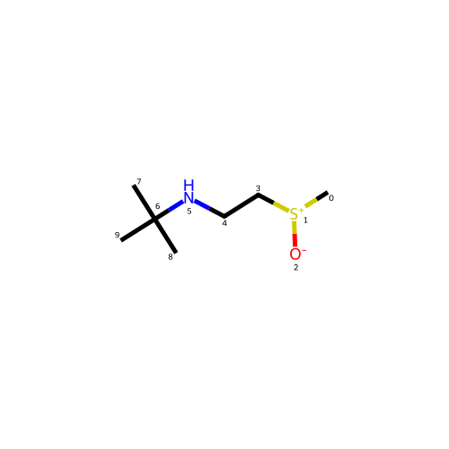 C[S+]([O-])CCNC(C)(C)C